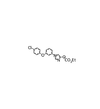 CCOC(=O)Oc1cn(-c2cccc(Oc3ccc(Cl)cc3)c2)cn1